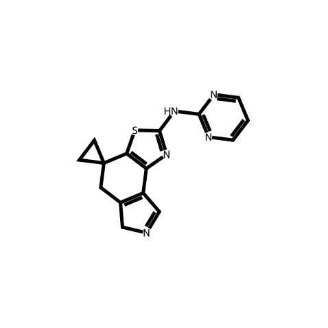 C1=NCC2=C1c1nc(Nc3ncccn3)sc1C1(CC1)C2